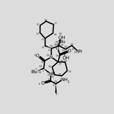 CC[C@H](C)[C@H](NC(=O)[C@H](C)N)C(=O)N([C@@H](CC1CCCCC1)[C@@H](O)[C@@H](O)CC(C)C)C1(C(=O)OC(C)(C)C)CCCCC1